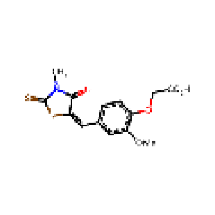 COc1cc(C=C2SC(=S)N(C)C2=O)ccc1OCC(=O)O